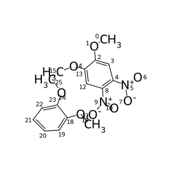 COc1cc([N+](=O)[O-])c([N+](=O)[O-])cc1OC.COc1ccccc1OC